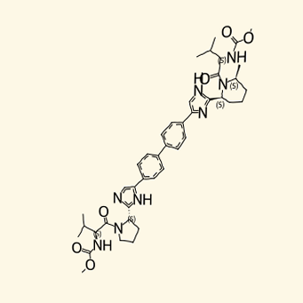 COC(=O)N[C@H](C(=O)N1CCC[C@H]1c1ncc(-c2ccc(-c3ccc(-c4c[nH]c([C@@H]5CCC[C@H](C)N5C(=O)[C@@H](NC(=O)OC)C(C)C)n4)cc3)cc2)[nH]1)C(C)C